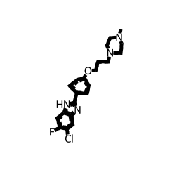 CN1CCN(CCCOc2ccc(-c3nc4cc(Cl)c(F)cc4[nH]3)cc2)CC1